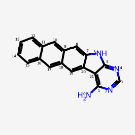 Nc1ncnc2[nH]c3cc4cc5ccccc5cc4cc3c12